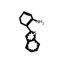 NC1=C(c2cc3ccccc3s2)CCC=C1